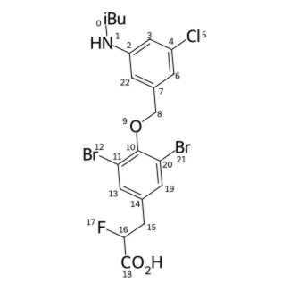 CCC(C)Nc1cc(Cl)cc(COc2c(Br)cc(CC(F)C(=O)O)cc2Br)c1